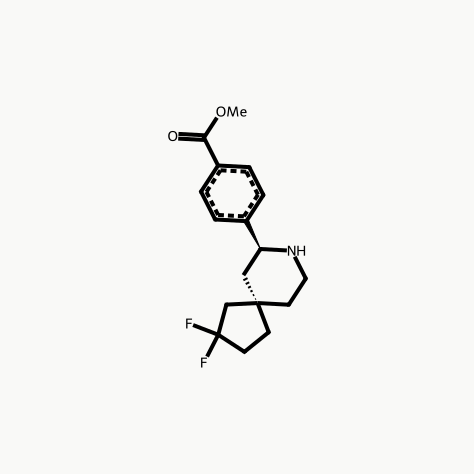 COC(=O)c1ccc([C@@H]2C[C@]3(CCN2)CCC(F)(F)C3)cc1